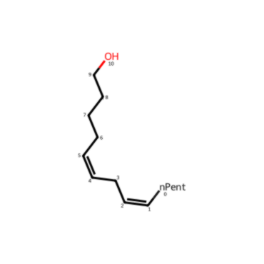 CCCCC/C=C\C/C=C\CC[CH]CO